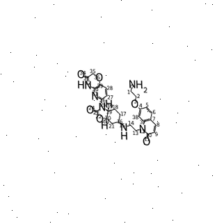 NCCOc1ccc2ccc(=O)n(CCN[C@@H]3CC[C@@H]4[C@@H](C3)OC(=O)N4c3ccc4c(n3)NC(=O)CO4)c2c1